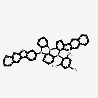 Cc1cc(C)c(B2c3cccc4c3N(c3ccccc3N4c3ccc4c(c3)oc3cc5ccccc5cc34)c3ccc4c(oc5cc6ccccc6cc54)c32)c(C)c1